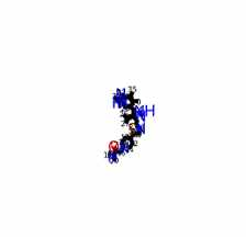 Cc1c(-c2[nH]nc(-c3ncc(C4CCN(CC(=O)N(C)C)CC4)s3)c2C(C)C)cn2ncnc2c1C